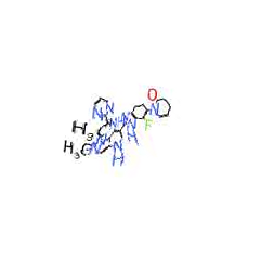 C[C@H](NC1=C(c2nc3ccc(N4CCCCC4=O)c(F)c3[nH]2)CNc2cn(C)nc21)c1ncccn1